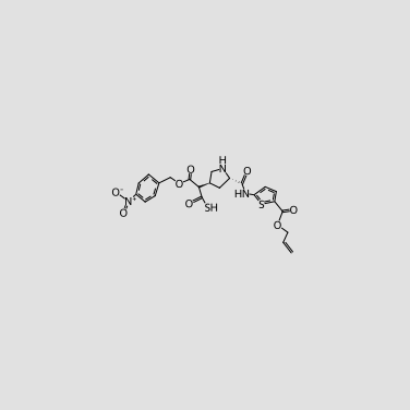 C=CCOC(=O)c1ccc(NC(=O)[C@@H]2C[C@@H](C(C(=O)S)C(=O)OCc3ccc([N+](=O)[O-])cc3)CN2)s1